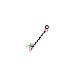 O=[C]C(CCCCCCCCCCCCCCOC1CC[CH]CC1)C(Cl)Cl